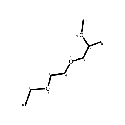 CCOCCOCC(C)OC